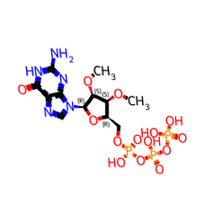 CO[C@@H]1[C@H](OC)[C@H](n2cnc3c(=O)[nH]c(N)nc32)O[C@@H]1COP(=O)(O)OP(=O)(O)OP(=O)(O)O